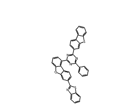 c1ccc(-c2nc(-c3ccc4c(c3)sc3ccccc34)nc(-c3cccc4oc5cc(-c6nc7ccccc7s6)ccc5c34)n2)cc1